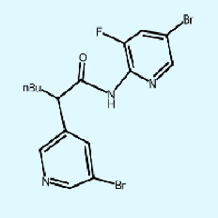 CCCCC(C(=O)Nc1ncc(Br)cc1F)c1cncc(Br)c1